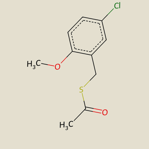 COc1ccc(Cl)cc1CSC(C)=O